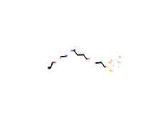 C=C(C)C(=O)OCCNC(C)CCCOCCCS(=O)(=O)NS(C)(=O)=O